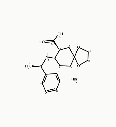 Br.C[C@@H](N[C@@H]1CCC2(C[C@@H]1C(=O)O)OCCO2)c1ccccc1